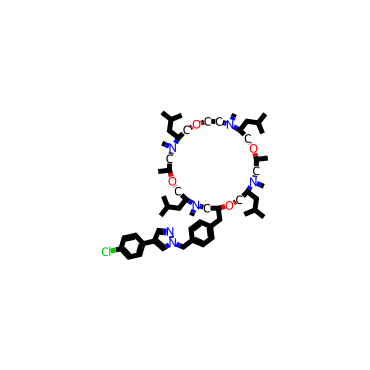 CC(C)CC1COC(C)CN(C)C(CC(C)C)COC(Cc2ccc(Cn3cc(-c4ccc(Cl)cc4)cn3)cc2)CN(C)C(CC(C)C)COC(C)CN(C)C(CC(C)C)COCCN1C